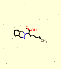 C=CCCCC(C(=O)O)N1Cc2ccccc2C=N1